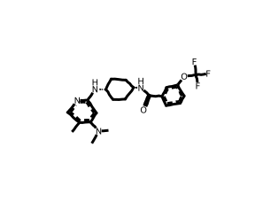 Cc1cnc(N[C@H]2CC[C@@H](NC(=O)c3cccc(OC(F)(F)F)c3)CC2)cc1N(C)C